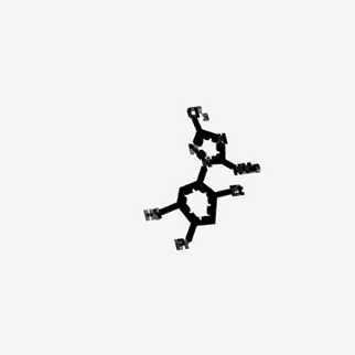 CCc1cc(C(C)C)c(S)cc1-n1nc(C(F)(F)F)nc1NC